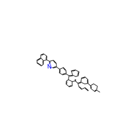 C=C/C=C\C(C(=C)C1C=CC=CC1/C(=C1/C=CC=CC1)c1ccc(-c2ccc(-c3cccc4ccccc34)nc2)cc1)=C1\C=CC=C(C2=CC=C(C)CC2)C1